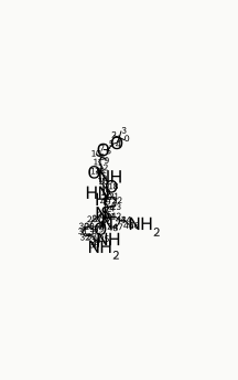 CC(C)(C)OCCOC(C)(C)CCC(=O)NCC(=O)Nc1cccc(SN[C@@H](Cc2cccc(C(=N)N)c2)C(=O)N2CCC(CCN)CC2)c1